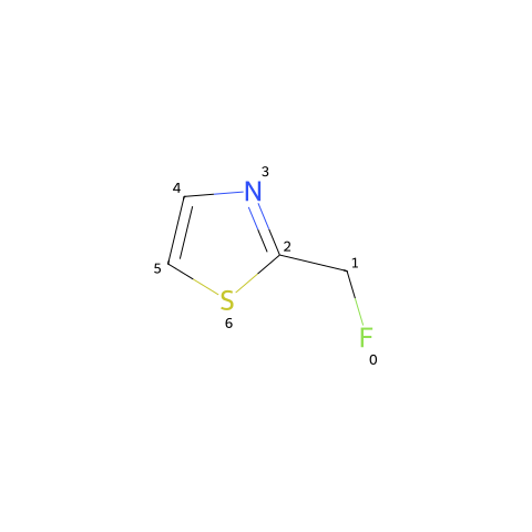 FCc1nccs1